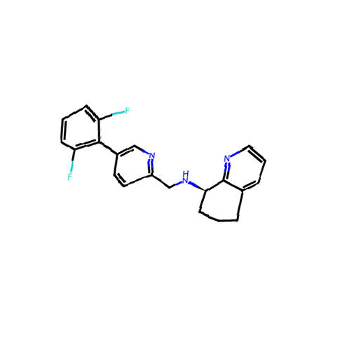 Fc1cccc(F)c1-c1ccc(CN[C@@H]2CCCc3cccnc32)nc1